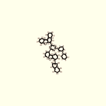 c1ccc(-c2cccc(-c3nc(-c4cc5ccccc5c5c4oc4ccccc45)nc(-c4cccc5oc6c(-c7ccc8ccccc8c7)cccc6c45)n3)c2)cc1